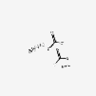 O=C([O-])[O-].O=C([O-])[O-].[Mg+2].[Mn+2].[OH-].[OH-].[Zn+2]